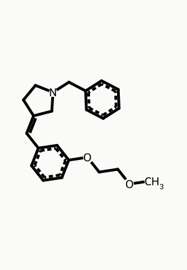 COCCOc1cccc(C=C2CCN(Cc3ccccc3)C2)c1